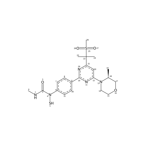 CNC(=O)N(S)c1ccc(-c2nc(N3CCOC[C@@H]3C)cc(C(C)(C)S(C)(=O)=O)n2)cc1